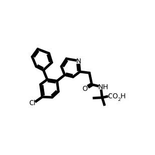 CC(C)(NC(=O)Cc1cc(-c2ccc(Cl)cc2-c2ccccc2)ccn1)C(=O)O